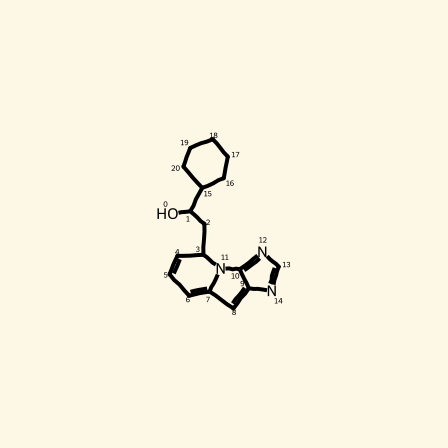 OC(CC1C=CC=c2cc3c(n21)=NC=N3)C1CCCCC1